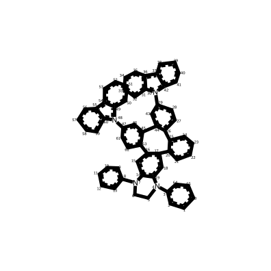 c1ccc(N2CCN(c3ccccc3)c3cc4c(cc32)-c2ccccc2-c2ccc(-n3c5ccccc5c5ccccc53)cc2-c2cc(-n3c5ccccc5c5ccccc53)ccc2-4)cc1